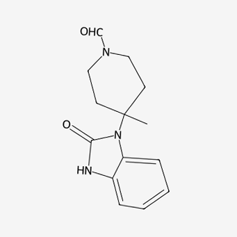 CC1(n2c(=O)[nH]c3ccccc32)CCN(C=O)CC1